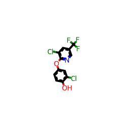 Oc1ccc(Oc2ncc(C(F)(F)F)cc2Cl)cc1Cl